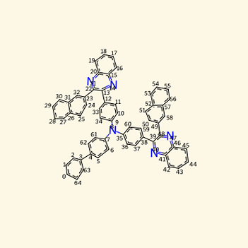 c1ccc(-c2ccc(N(c3ccc(-c4nc5ccccc5nc4-c4ccc5ccccc5c4)cc3)c3ccc(-c4nc5ccccc5nc4-c4ccc5ccccc5c4)cc3)cc2)cc1